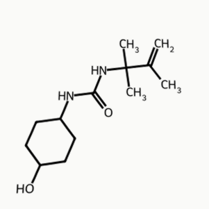 C=C(C)C(C)(C)NC(=O)NC1CCC(O)CC1